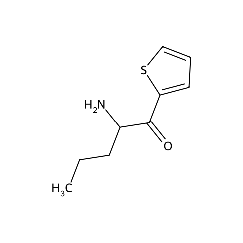 CCCC(N)C(=O)c1cccs1